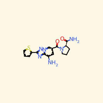 NC(=O)[C@H]1CCCN1C(=O)c1cc(N)c2nc(-c3cccs3)nn2c1